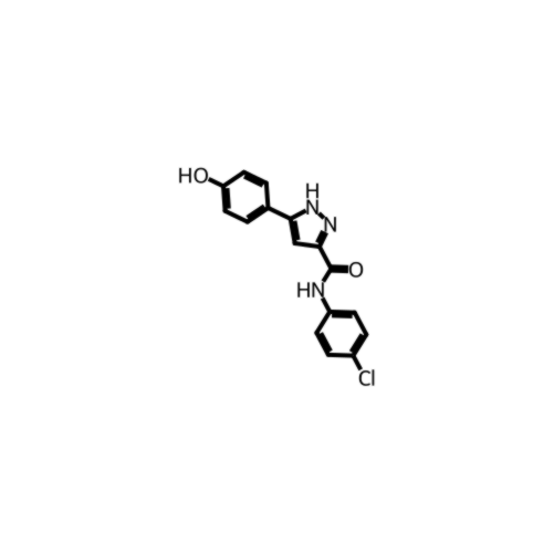 O=C(Nc1ccc(Cl)cc1)c1cc(-c2ccc(O)cc2)[nH]n1